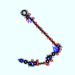 COc1cc2c(cc1OCCCCCOc1cc3c(cc1OC)C(=O)N1C=C(c4ccc(N5CCN(C)CC5)cc4)C[C@H]1C=N3)N=C[C@@H]1CC(c3ccc(NC(=O)[C@H](C)NC(=O)[C@@H](NC(=O)CCOCCOCCOCCOCCOCCOCCOCCOCCNC(=O)CCN4C(=O)CC(C5CCCCCCCCC5)C4=O)C(C)C)cc3)=CN1C2=O